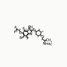 CC(=O)N[C@@H](C)COC1CCC(Oc2nc3c(F)c(Br)c(OCC(F)F)c(F)c3n2C)CC1